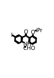 CC(C)Oc1ccccc1C(=O)c1cc(I)ccc1NC=O